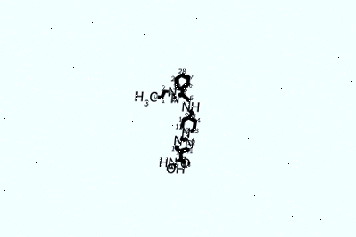 CCCn1nc(CNCC2CCN(c3ncc(C(=O)NO)cn3)CC2)c2ccccc21